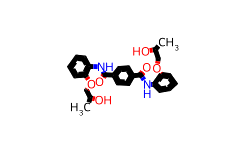 CC(O)COc1ccccc1NC(=O)c1ccc(C(=O)Nc2ccccc2OCC(C)O)cc1